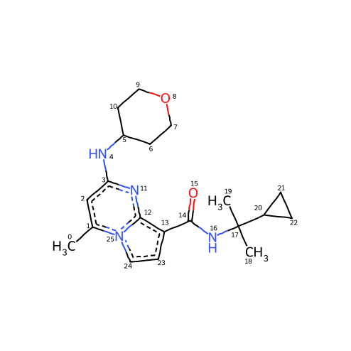 Cc1cc(NC2CCOCC2)nc2c(C(=O)NC(C)(C)C3CC3)ccn12